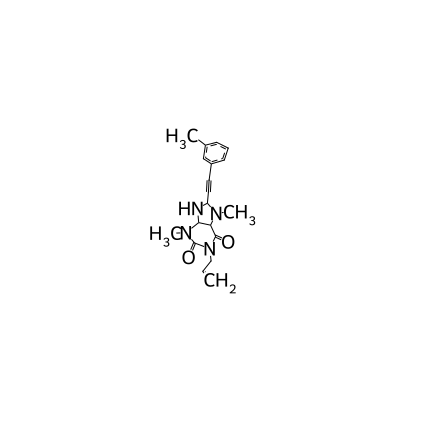 C=CCN1C(=O)C2C(NC(C#Cc3cccc(C)c3)N2C)N(C)C1=O